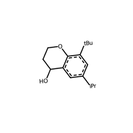 CC(C)c1cc2c(c(C(C)(C)C)c1)OCCC2O